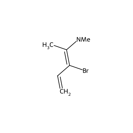 C=C/C(Br)=C(\C)NC